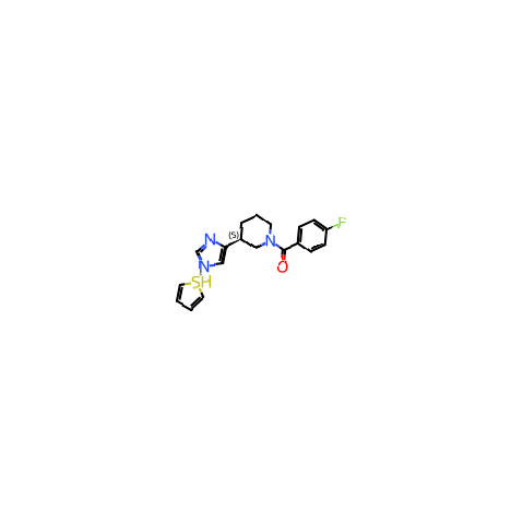 O=C(c1ccc(F)cc1)N1CCC[C@H](c2cn([SH]3C=CC=C3)cn2)C1